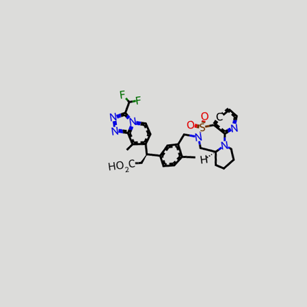 Cc1ccc([C@@H](CC(=O)O)c2ccn3c(C(F)F)nnc3c2C)cc1CN1C[C@@H]2CCCCN2c2ncccc2S1(=O)=O